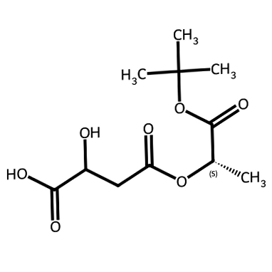 C[C@H](OC(=O)CC(O)C(=O)O)C(=O)OC(C)(C)C